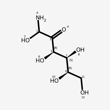 NC(O)C(=O)[C@H](O)[C@@H](O)[C@H](O)CO